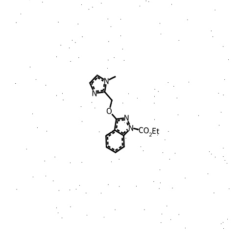 CCOC(=O)n1nc(OCc2nccn2C)c2ccccc21